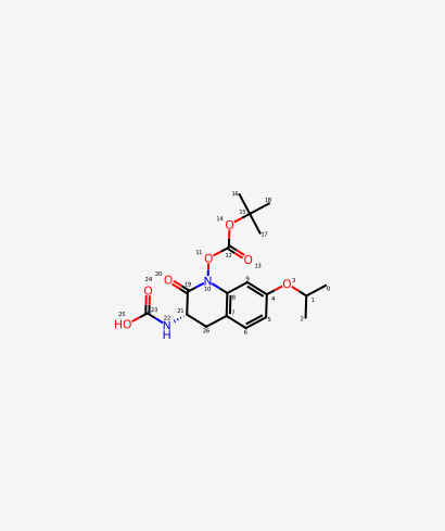 CC(C)Oc1ccc2c(c1)N(OC(=O)OC(C)(C)C)C(=O)[C@@H](NC(=O)O)C2